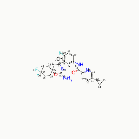 C[C@@]1(c2cc(NC(=O)c3ccc(C4CC4)cn3)ccc2F)CC2(CCC(F)(F)CC2)OC(N)=N1